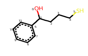 OC(CCCS)c1ccccc1